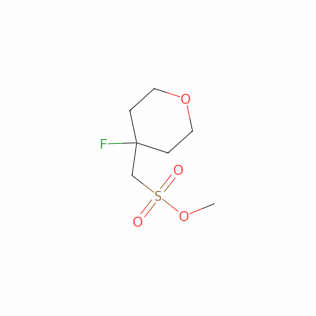 COS(=O)(=O)CC1(F)CCOCC1